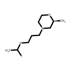 CC(I)OCCCN1CCO[C@@H](C)C1